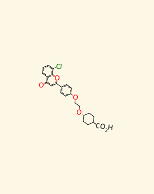 O=c1cc(-c2ccc(OCCO[C@H]3CC[C@H](C(=O)O)CC3)cc2)oc2c(Cl)cccc12